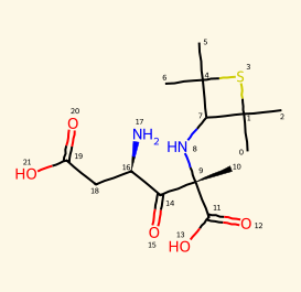 CC1(C)SC(C)(C)C1N[C@](C)(C(=O)O)C(=O)[C@H](N)CC(=O)O